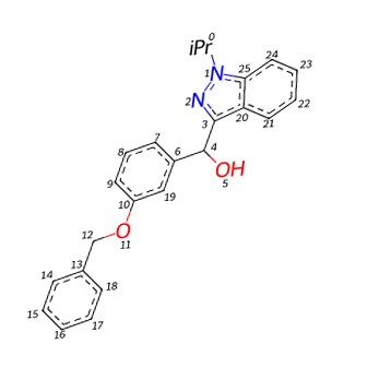 CC(C)n1nc(C(O)c2cccc(OCc3ccccc3)c2)c2ccccc21